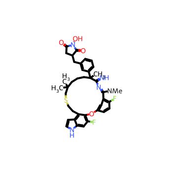 CN/C1=N\C(=N)C(C)(c2cccc(CC3CC(=O)N(O)C3=O)c2)CCCC(C)(C)CSCCc2c(c(F)cc3[nH]ccc23)Oc2ccc(F)c1c2